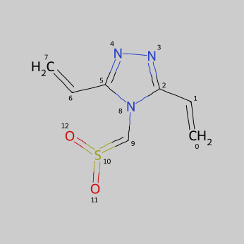 C=Cc1nnc(C=C)n1C=S(=O)=O